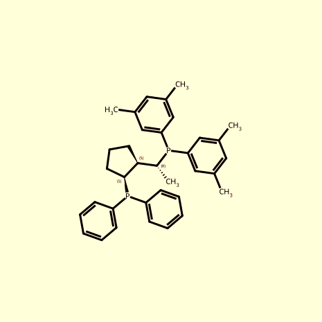 Cc1cc(C)cc(P(c2cc(C)cc(C)c2)[C@H](C)[C@@H]2CCC[C@@H]2P(c2ccccc2)c2ccccc2)c1